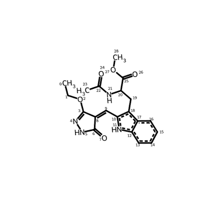 CCOC1=NNC(=O)C1=Cc1[nH]c2ccccc2c1CC(NC(C)=O)C(=O)OC